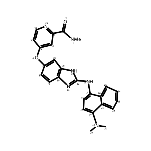 CNC(=O)c1cc(Oc2ccc3nc(Nc4ccc(N(C)C)c5ccccc45)[nH]c3c2)ccn1